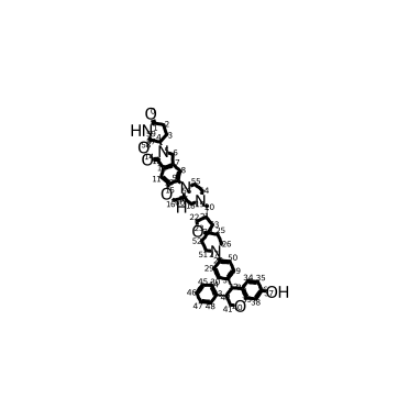 O=C1CC[C@@H](N2Cc3cc4c(cc3C2=O)OC[C@@H]2CN(C[C@H]3COC5(CCN(c6ccc([C@H]7c8ccc(O)cc8OC[C@H]7c7ccccc7)cc6)CC5)C3)CCN42)C(=O)N1